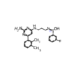 Cc1cccc(-c2cc(NCCC/N=S(/O)c3cccc(F)c3)nc(N)n2)c1C